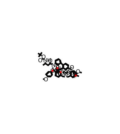 COc1ccc(CN(Cc2ccc(OC)cc2)S(=O)(=O)c2c(S(=O)(=O)CC[Si](C)(C)C)ccc(-c3cccc(NC(=O)CC(C)NC(=O)OC(C)(C)C)c3N)c2-c2nnn(Cc3ccc(OC)cc3)n2)cc1